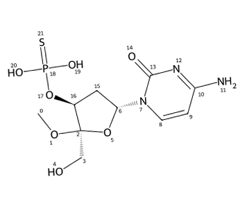 CO[C@]1(CO)O[C@@H](n2ccc(N)nc2=O)C[C@@H]1OP(O)(O)=S